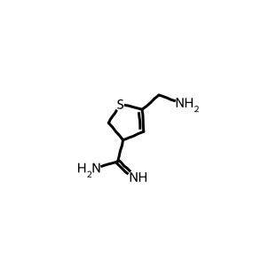 N=C(N)C1C=C(CN)SC1